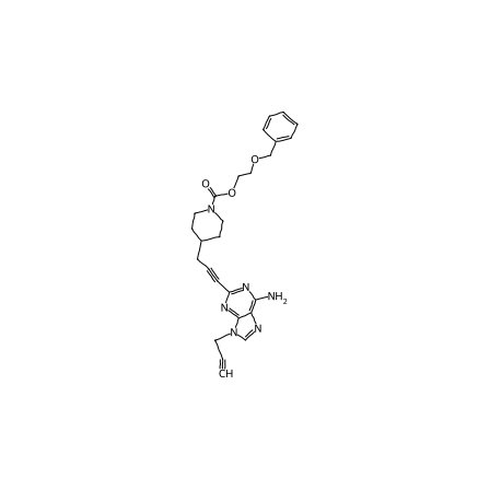 C#CCn1cnc2c(N)nc(C#CCC3CCN(C(=O)OCCOCc4ccccc4)CC3)nc21